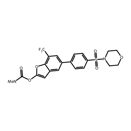 CNC(=O)Oc1cc2cc(-c3ccc(S(=O)(=O)N4CCOCC4)cc3)cc(C(F)(F)F)c2o1